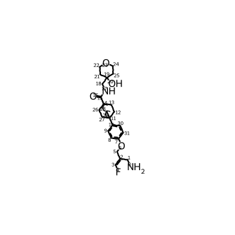 NC/C(=C\F)COc1ccc(C23CCC(C(=O)NCC4(O)CCOCC4)(CC2)CC3)cc1